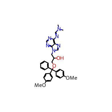 COc1ccc(C(OCC(O)Cn2cnc3c(N=CN(C)C)ncnc32)(c2ccccc2)c2ccc(OC)cc2)cc1